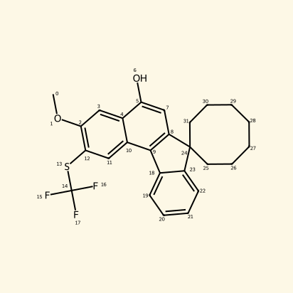 COc1cc2c(O)cc3c(c2cc1SC(F)(F)F)-c1ccccc1C31CCCCCCC1